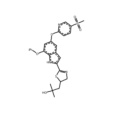 CC(C)Oc1cc(Oc2ccc(S(C)(=O)=O)cn2)cc2cc(C3=NCC(CC(C)(C)O)S3)[nH]c12